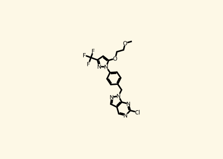 COCCOc1cc(C(F)(F)F)nn1-c1ccc(Cn2ncc3cnc(Cl)nc32)cc1